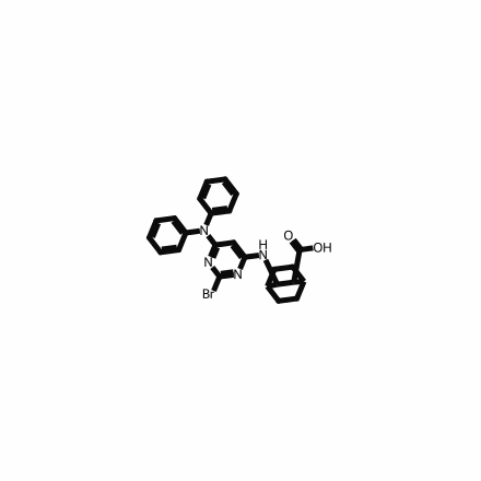 O=C(O)C1C2CCC(CC2)C1Nc1cc(N(c2ccccc2)c2ccccc2)nc(Br)n1